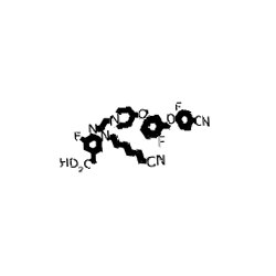 N#CCCCCCCn1c(CN2CCC(Oc3ccc(F)c(COc4ccc(C#N)cc4F)c3)CC2)nc2c(F)cc(CC(=O)O)cc21